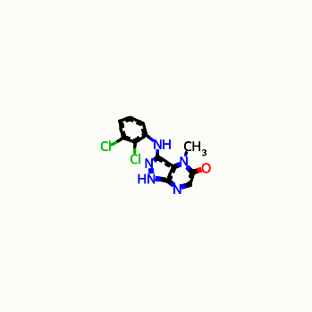 Cn1c(=O)cnc2[nH]nc(Nc3cccc(Cl)c3Cl)c21